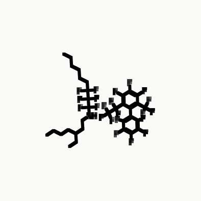 CCCCCCC(F)(F)C(F)(F)C(F)(F)NCCC(CC)CCCC.Fc1c(F)c(F)c(-c2c(C(F)(F)F)c(F)c(F)c(F)c2C(F)(F)C(F)(F)F)c(F)c1F